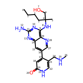 CCCCC(C)(CO)Nc1nc(N)nc2cc(-c3cc(=O)[nH]cc3CNC)cnc12